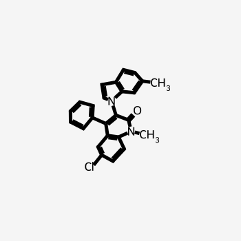 Cc1ccc2ccn(-c3c(-c4ccccc4)c4cc(Cl)ccc4n(C)c3=O)c2c1